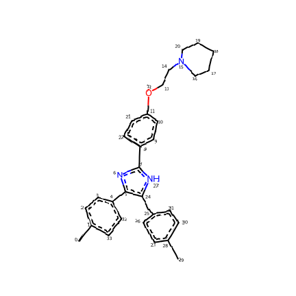 Cc1ccc(-c2nc(-c3ccc(OCCN4CCCCC4)cc3)[nH]c2-c2ccc(C)cc2)cc1